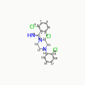 N=C(c1c(Cl)cccc1Cl)N1CCN(c2ccccc2Cl)CC1